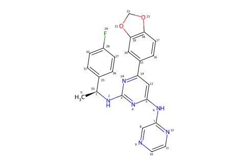 C[C@H](Nc1nc(Nc2cnccn2)cc(-c2ccc3c(c2)OCO3)n1)c1ccc(F)cc1